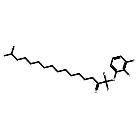 CC(C)CCCCCCCCCCCCC(=O)C(F)(F)Oc1cccc(F)c1F